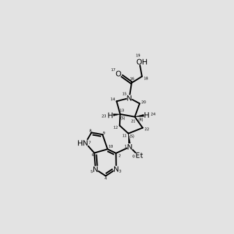 CCN(c1ncnc2[nH]ccc12)[C@H]1C[C@@H]2CN(C(=O)CO)C[C@@H]2C1